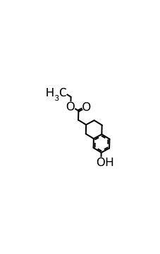 CCOC(=O)CC1CCc2ccc(O)cc2C1